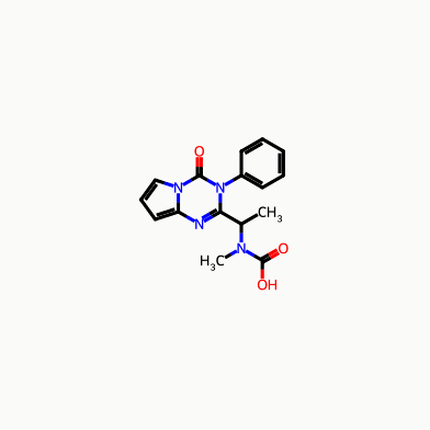 CC(c1nc2cccn2c(=O)n1-c1ccccc1)N(C)C(=O)O